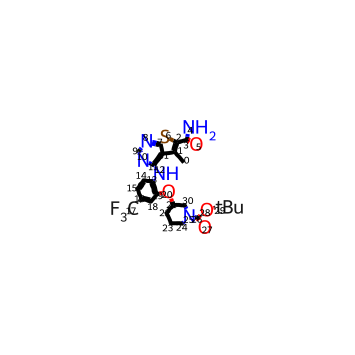 Cc1c(C(N)=O)sc2ncnc(Nc3ccc(C(F)(F)F)cc3OC3CCCN(C(=O)OC(C)(C)C)C3)c12